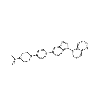 CC(=O)N1CCN(c2ccc(-c3ccn4c(-c5cccc6ncccc56)cnc4c3)cc2)CC1